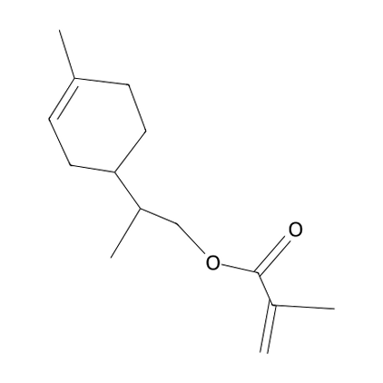 C=C(C)C(=O)OCC(C)C1CC=C(C)CC1